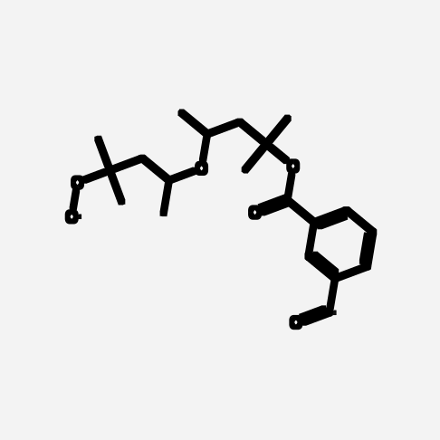 CC(CC(C)(C)O[O])OC(C)CC(C)(C)OC(=O)c1cccc([C]=O)c1